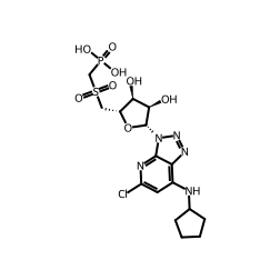 O=P(O)(O)CS(=O)(=O)C[C@H]1O[C@@H](n2nnc3c(NC4CCCC4)cc(Cl)nc32)[C@H](O)[C@@H]1O